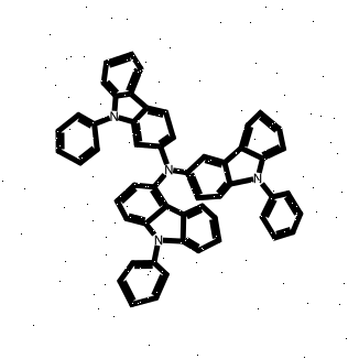 c1ccc(-n2c3ccccc3c3cc(N(c4ccc5c6ccccc6n(-c6ccccc6)c5c4)c4cccc5c4c4ccccc4n5-c4ccccc4)ccc32)cc1